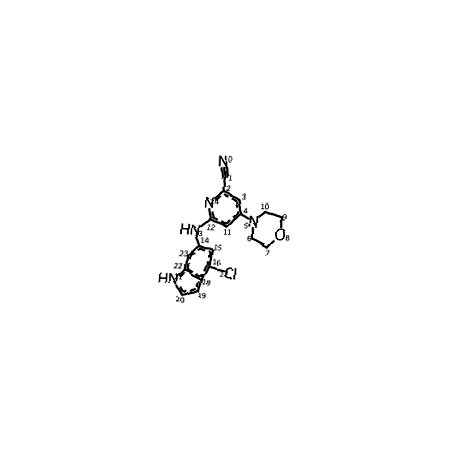 N#Cc1cc(N2CCOCC2)cc(Nc2cc(Cl)c3cc[nH]c3c2)n1